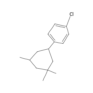 CC1CC(c2ccc(Cl)cc2)CC(C)(C)C1